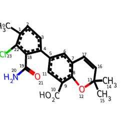 Cc1ccc(-c2cc3c(c(C(=O)O)c2)OC(C)(C)C=C3)c(C(N)=O)c1Cl